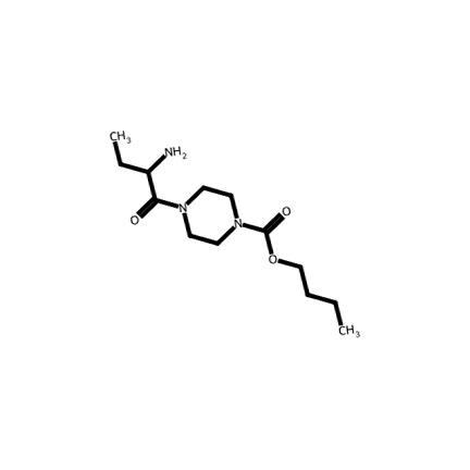 CCCCOC(=O)N1CCN(C(=O)C(N)CC)CC1